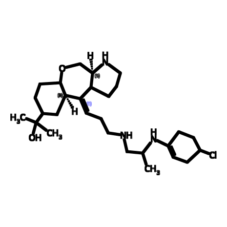 CC(CNCC/C=C1\C2CCCN[C@@H]2COC2CCC(C(C)(C)O)C[C@H]12)NC1=CCC(Cl)CC1